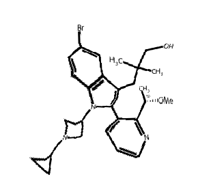 CO[C@@H](C)c1ncccc1-c1c(CC(C)(C)CO)c2cc(Br)ccc2n1C1CN(C2CC2)C1